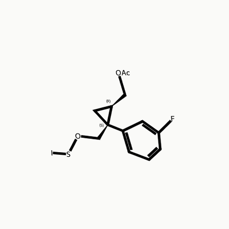 CC(=O)OC[C@@H]1C[C@@]1(COSI)c1cccc(F)c1